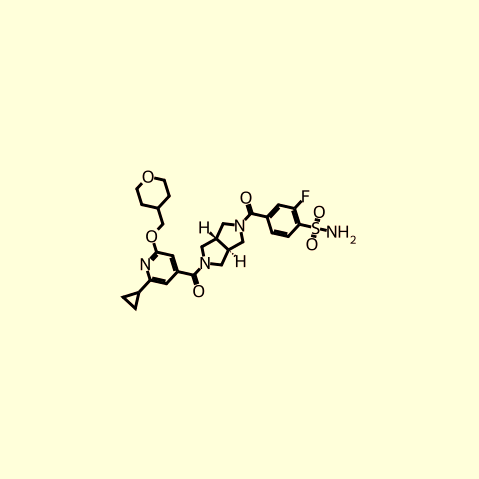 NS(=O)(=O)c1ccc(C(=O)N2C[C@H]3CN(C(=O)c4cc(OCC5CCOCC5)nc(C5CC5)c4)C[C@@H]3C2)cc1F